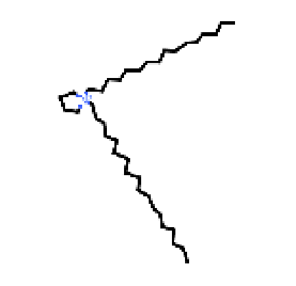 CCCCCCCCCCCCCCCCCC[N+]1(CCCCCCCCCCCCCCCC)CCCC1